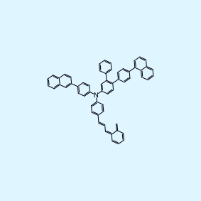 C=c1cccc/c1=C/C=C/c1ccc(N(c2ccc(-c3ccc4ccccc4c3)cc2)c2ccc(-c3ccc(-c4cccc5ccccc45)cc3)c(-c3ccccc3)c2)cc1